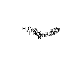 CCCC(=O)Nc1ccc2c(c1)ncn2CCCCN1CC=C(c2ccccc2)CC1